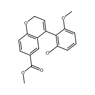 COC(=O)c1ccc2c(c1)C(c1c(Cl)cccc1OC)=CCO2